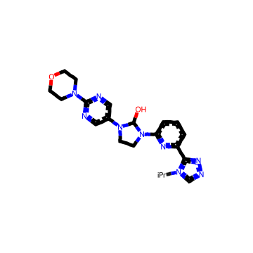 CC(C)n1cnnc1-c1cccc(N2CCN(c3cnc(N4CCOCC4)nc3)C2O)n1